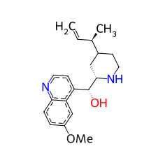 C=C[C@@H](C)C1CCN[C@H]([C@H](O)c2ccnc3ccc(OC)cc23)C1